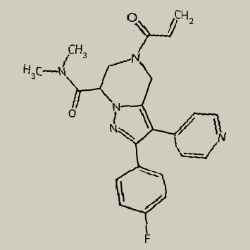 C=CC(=O)N1Cc2c(-c3ccncc3)c(-c3ccc(F)cc3)nn2C(C(=O)N(C)C)C1